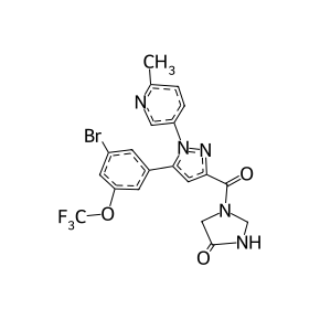 Cc1ccc(-n2nc(C(=O)N3CNC(=O)C3)cc2-c2cc(Br)cc(OC(F)(F)F)c2)cn1